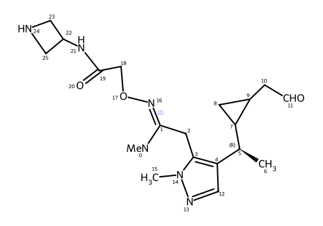 CN/C(Cc1c([C@H](C)C2CC2CC=O)cnn1C)=N\OCC(=O)NC1CNC1